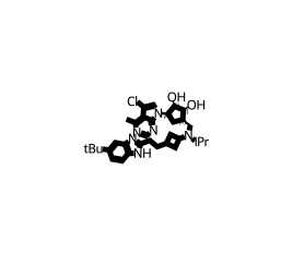 Cc1ncnc2c1c(Cl)cn2[C@@H]1C[C@H](CN(C(C)C)C2CC(CCc3nc4cc(C(C)(C)C)ccc4[nH]3)C2)[C@@H](O)[C@H]1O